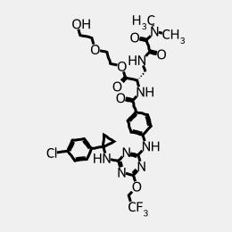 CN(C)C(=O)C(=O)NC[C@H](NC(=O)c1ccc(Nc2nc(NC3(c4ccc(Cl)cc4)CC3)nc(OCC(F)(F)F)n2)cc1)C(=O)OCCOCCO